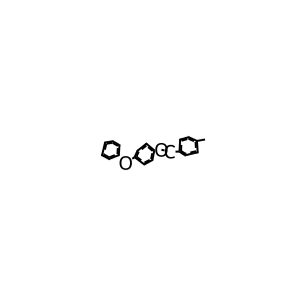 Cc1ccc(COc2ccc(Oc3ccccc3)cc2)cc1